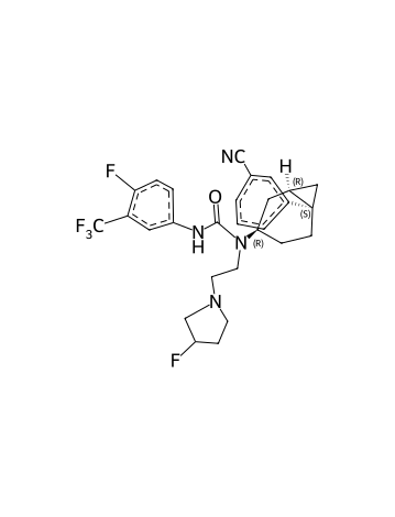 N#Cc1cccc([C@]23CC[C@@H](N(CCN4CCC(F)C4)C(=O)Nc4ccc(F)c(C(F)(F)F)c4)C[C@H]2C3)c1